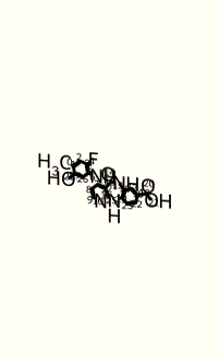 Cc1cc(F)c(Nc2ccnc3c2C(=O)Nc2cc(C(=O)O)ccc2N3)cc1O